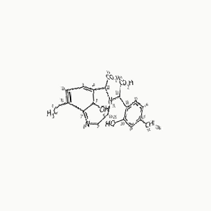 CC1=CC=C2C(O)C1=NCCN(C(C(=O)O)c1ccc(C)cc1O)C2C(=O)O